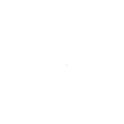 CSCCC(NC(=O)CCc1ccccc1)C(=O)O